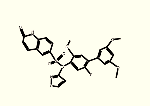 COc1cc(OC)cc(-c2cc(OC)c(N(c3ccon3)S(=O)(=O)c3ccc4[nH]c(=O)ccc4c3)cc2F)c1